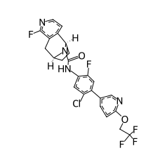 O=C(Nc1cc(Cl)c(-c2ccc(OCC(F)(F)F)nc2)cc1F)N1[C@H]2CC[C@@H]1c1ccnc(F)c1C2